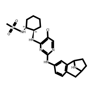 CS(=O)(=O)N[C@@H]1CCCC[C@H]1Nc1nc(Nc2ccc3c(c2)C2CCC(C3)N2)ncc1Cl